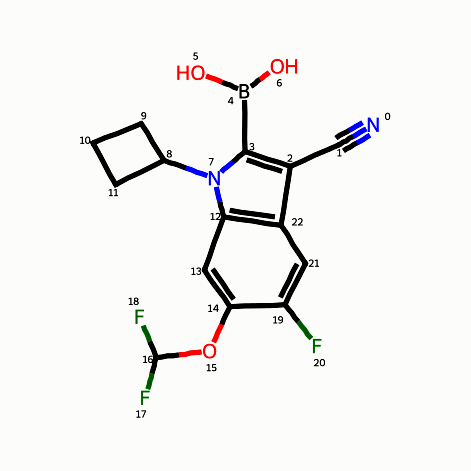 N#Cc1c(B(O)O)n(C2CCC2)c2cc(OC(F)F)c(F)cc12